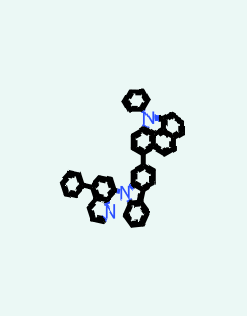 c1ccc(-c2ccc(-n3c4ccccc4c4ccc(-c5ccc6c7c5ccc5cccc(c57)n6-c5ccccc5)cc43)c3ncccc23)cc1